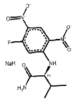 CC(C)[C@H](Nc1cc(F)c([N+](=O)[O-])cc1[N+](=O)[O-])C(N)=O.[NaH]